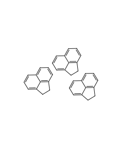 c1cc2c3c(cccc3c1)CC2.c1cc2c3c(cccc3c1)CC2.c1cc2c3c(cccc3c1)CC2